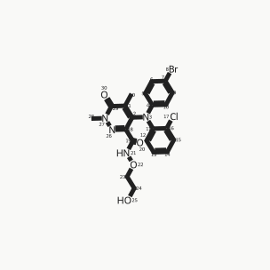 Cc1c(N(c2ccc(Br)cc2)c2ccccc2Cl)c(C(=O)NOCCO)nn(C)c1=O